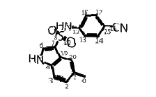 Cc1ccc2[nH]cc(S(=O)(=O)Nc3ccc(C#N)cc3)c2c1